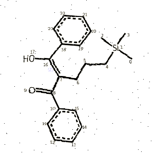 C[Si](C)(C)CCC/C(C(=O)c1ccccc1)=C(/O)c1ccccc1